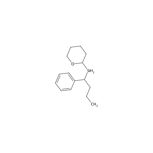 CCCC([SiH2]C1CCCCO1)c1ccccc1